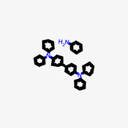 Nc1ccccc1.c1ccc(N(c2ccccc2)c2ccc(-c3ccc(N(c4ccccc4)c4ccccc4)cc3)cc2)cc1